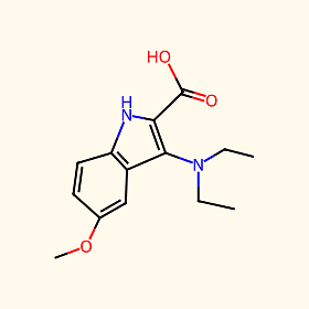 CCN(CC)c1c(C(=O)O)[nH]c2ccc(OC)cc12